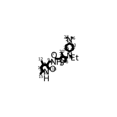 CCN(c1csc(C(=O)NCc2c(C)cc(C)[nH]c2=O)c1C)C1CCC(N(C)C)CC1